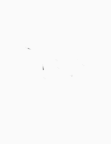 CN[C@H]1CCC(n2cc(C(N)=O)c(Nc3ccc(F)cc3)n2)[C@@H](C#N)C1